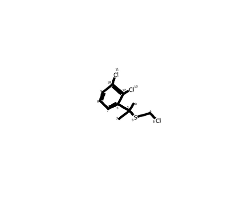 CC(C)(SCCl)c1cccc(Cl)c1Cl